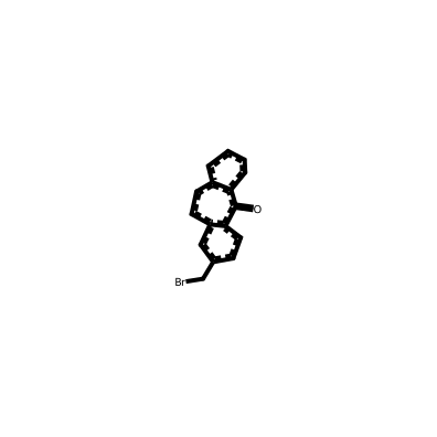 O=c1c2ccccc2ccc2cc(CBr)ccc12